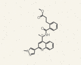 COC(=O)CCc1ccccc1C(=O)N[C@H](C)c1cc(-c2cnn(C)c2)nc2ccccc12